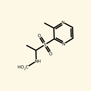 Cc1nccnc1S(=O)(=O)C(C)NC(=O)O